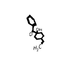 C=CC1CCC(O)(C(=O)c2ccccc2)CC1